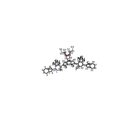 C/C=C(/c1cc2ccccc2s1)c1nsnc1C(F)c1cc2c(s1)-c1sc(-c3c(F)cc(-c4cc5ccccc5s4)c4nsnc34)cc1[Si]2(CC(CC)CCCC)CC(CC)CCCC